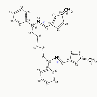 C=C1C=CC(/C=N/N(CCCCCN(/N=C/C2=CC(=C)C=C2)c2ccccc2)c2ccccc2)=C1